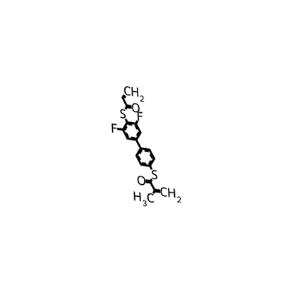 C=CC(=O)Sc1c(F)cc(-c2ccc(SC(=O)C(=C)C)cc2)cc1F